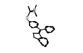 CC(Oc1ccc(/C(=C2\CCc3ccccc32)c2ccccc2)cc1)N(C)C